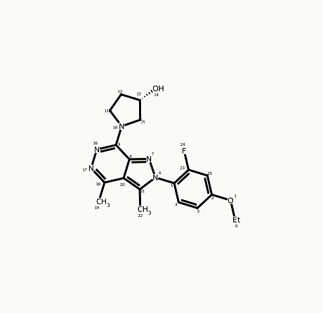 CCOc1ccc(-n2nc3c(N4CC[C@H](O)C4)nnc(C)c3c2C)c(F)c1